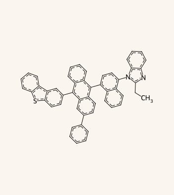 CCc1nc2ccccc2n1-c1ccc(-c2c3ccccc3c(-c3ccc4sc5ccccc5c4c3)c3cc(-c4ccccc4)ccc23)c2ccccc12